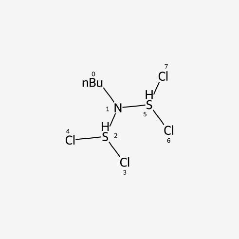 CCCCN([SH](Cl)Cl)[SH](Cl)Cl